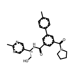 Cc1ccc(-c2cc(C(=O)N[C@H](CO)c3cnc(C)nc3)cc(C(=O)N3CCCC3)c2)cc1